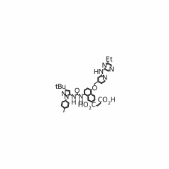 CCc1cncc(Nc2cc(COc3ccc(NC(=O)Nc4cc(C(C)(C)C)nn4-c4ccc(C)cc4)c4ccccc34)ccn2)n1.O=C(O)/C=C\C(=O)O